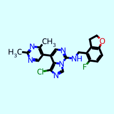 Cc1ncc(-c2cnc(NCc3c(F)ccc4c3CCO4)n3cnc(Cl)c23)c(C)n1